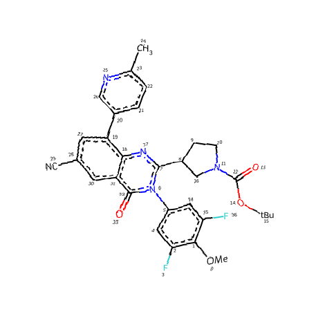 COc1c(F)cc(-n2c(C3CCN(C(=O)OC(C)(C)C)C3)nc3c(-c4ccc(C)nc4)cc(C#N)cc3c2=O)cc1F